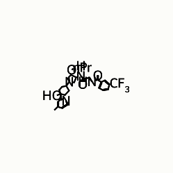 CCCO[C@H]1CN(C2CCC(O)(c3cc(C)ccn3)CC2)C[C@@H]1NC(=O)CNC(=O)c1cccc(C(F)(F)F)c1